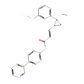 CC[C@]1(c2cccc(OC)c2)C[C@H]1C=CC(=O)Nc1ccc(-c2cccnc2)cc1